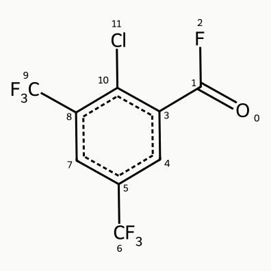 O=C(F)c1cc(C(F)(F)F)cc(C(F)(F)F)c1Cl